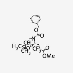 COC(=O)CC[C@@H]1N(C(=O)OCc2ccccc2)CO[C@@]1(O[Si](C)(C)C)C(F)(F)F